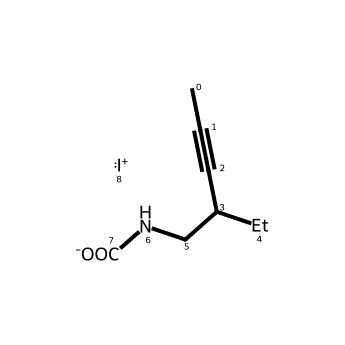 CC#CC(CC)CNC(=O)[O-].[I+]